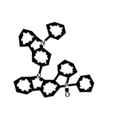 O=P1(c2ccccc2)c2ccccc2-c2c1ccc1c3ccccc3n(-c3ccc4c(c3)c3ccccc3n4-c3ccccc3)c21